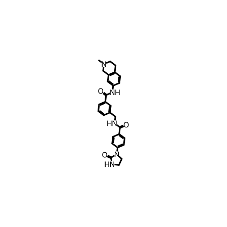 CN1CCc2ccc(NC(=O)c3cccc(CNC(=O)c4ccc(N5CCNC5=O)cc4)c3)cc2C1